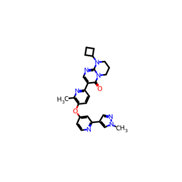 Cc1nc(-c2cnc3n(c2=O)CCCN3C2CCC2)ccc1Oc1ccnc(-c2cnn(C)c2)c1